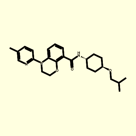 Cc1ccc(N2CCOc3c(C(=O)N[C@H]4CC[C@H](OCC(C)C)CC4)cccc32)nc1